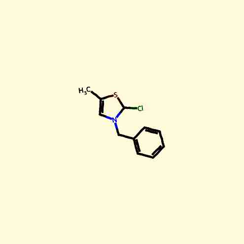 CC1=CN(Cc2ccccc2)C(Cl)S1